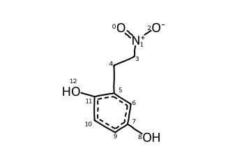 O=[N+]([O-])CCc1cc(O)ccc1O